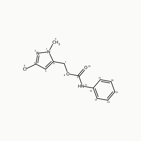 Cn1nc(Cl)cc1COC(=O)Nc1ccccc1